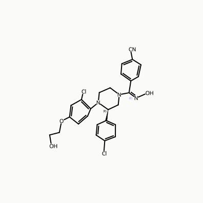 N#Cc1ccc(/C(=N\O)N2CCN(c3ccc(OCCO)cc3Cl)[C@H](c3ccc(Cl)cc3)C2)cc1